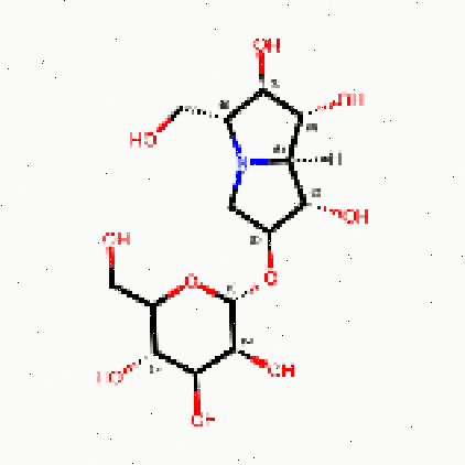 OCC1O[C@H](O[C@H]2CN3[C@@H]([C@@H](O)[C@H](O)[C@H]3CO)[C@@H]2O)[C@@H](O)C(O)[C@@H]1O